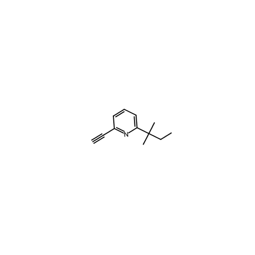 C#Cc1cccc(C(C)(C)CC)n1